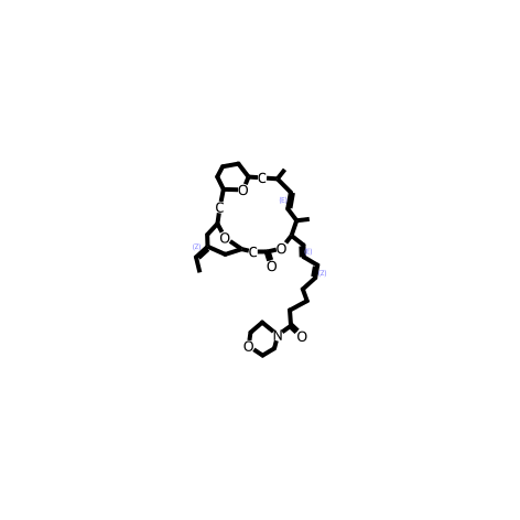 C/C=C1\CC2CC(=O)OC(/C=C/C=C\CCCC(=O)N3CCOCC3)C(C)/C=C/C(C)CC3CCCC(CC(C1)O2)O3